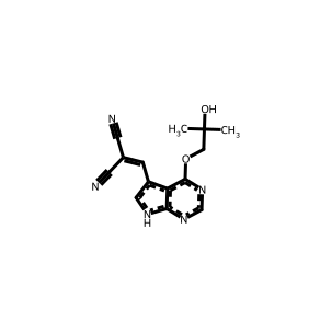 CC(C)(O)COc1ncnc2[nH]cc(C=C(C#N)C#N)c12